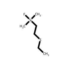 CCSCC[Si](C)(C)F